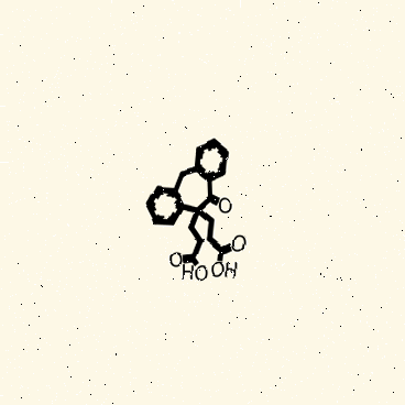 O=C(O)CCC1(CCC(=O)O)C(=O)c2ccccc2Cc2ccccc21